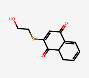 O=C1C=C(SCCO)C(=O)C2CC=CC=C12